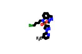 Cn1ncc2cccc(N(CCCCBr)S(=O)(=O)c3cnn(-c4cc(C(F)(F)F)ccn4)c3)c21